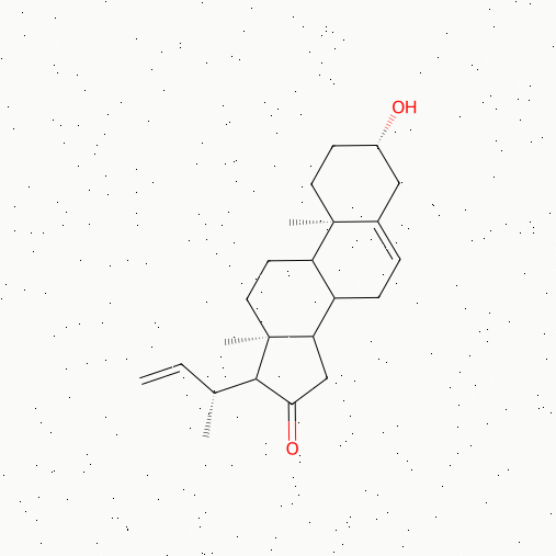 C=C[C@@H](C)C1C(=O)CC2C3CC=C4C[C@@H](O)CC[C@]4(C)C3CC[C@@]21C